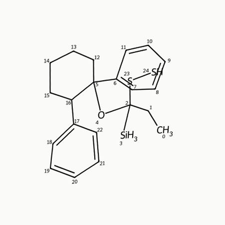 CCC([SiH3])(OC1(c2ccccc2)CCCCC1c1ccccc1)SS